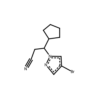 N#CCC(C1CCCC1)n1cc(Br)cn1